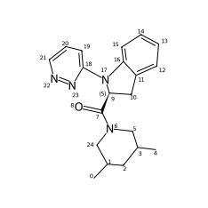 CC1CC(C)CN(C(=O)[C@@H]2Cc3ccccc3N2c2cccnn2)C1